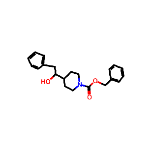 O=C(OCc1ccccc1)N1CCC(C(O)Cc2ccccc2)CC1